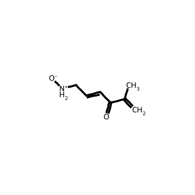 C=C(C)C(=O)C=CC[NH2+][O-]